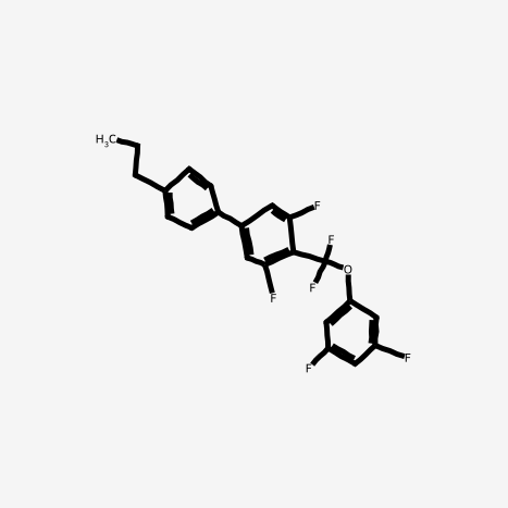 CCCc1ccc(-c2cc(F)c(C(F)(F)Oc3cc(F)cc(F)c3)c(F)c2)cc1